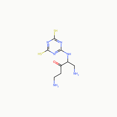 NCCC(=O)C(CN)Nc1nc(S)nc(S)n1